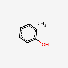 C.Oc1ccccc1